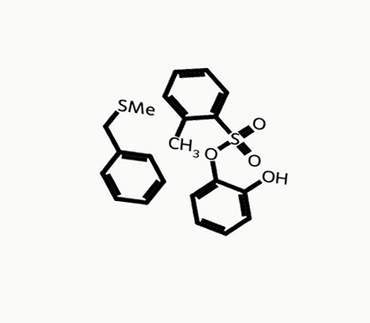 CSCc1ccccc1.Cc1ccccc1S(=O)(=O)Oc1ccccc1O